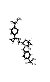 COC(=O)c1ccc(C2(NC(=O)[C@H]3C[C@H]4C[C@@H]4N3Cc3ccc(C(F)(F)F)cc3)CC2)cc1